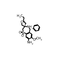 CCCC[C@]1(CC)CS(=O)(=O)c2cc(N)c(OC)cc2[C@@H](c2ccccc2)N1